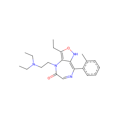 CCC1=C2C(=C(c3ccccc3C)N=CC(=O)N2CCN(CC)CC)NO1